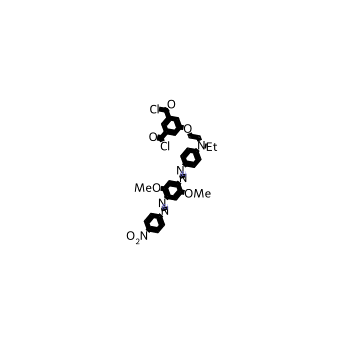 CCN(CCOc1cc(C(=O)Cl)cc(C(=O)Cl)c1)c1ccc(/N=N/c2cc(OC)c(/N=N/c3ccc([N+](=O)[O-])cc3)cc2OC)cc1